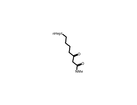 CCCCCCCCCCCC(=O)CC(=O)NC